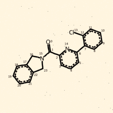 O=C(c1cccc(-c2ccccc2Cl)n1)N1Cc2ccccc2C1